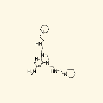 Nc1cnc2c(c1)N(CCNCCN1CCCCC1)CCN2CCNCCN1CCCCC1